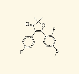 CSc1ccc(C2=C(c3ccc(F)cc3)C(=O)C(C)(C)O2)c(F)c1